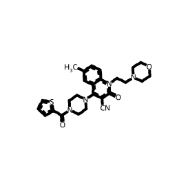 Cc1ccc2c(c1)c(N1CCN(C(=O)c3cccs3)CC1)c(C#N)c(=O)n2CCN1CCOCC1